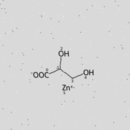 O=C([O-])C(O)CO.[Zn+]